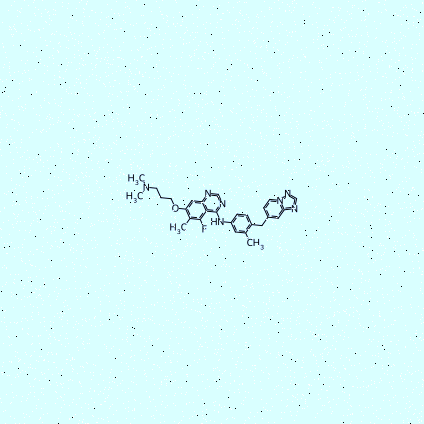 Cc1cc(Nc2ncnc3cc(OCCCN(C)C)c(C)c(F)c23)ccc1Cc1ccn2ncnc2c1